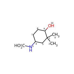 CC1(C)CC(NC(=O)O)CCC1O